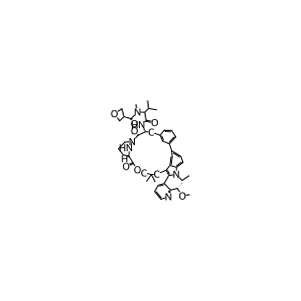 CCn1c(-c2cccnc2[C@H](C)OC)c2c3cc(ccc31)-c1cccc(c1)C[C@H](NC(=O)C(C(C)C)N(C)C(=O)C1COC1)C(=O)N1CCC[C@H](N1)C(=O)OCC(C)(C)C2